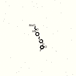 COCCC(=O)N[C@H]1CC[C@H](CCN2CCC(Oc3ccc(F)cc3Cl)CC2)CC1